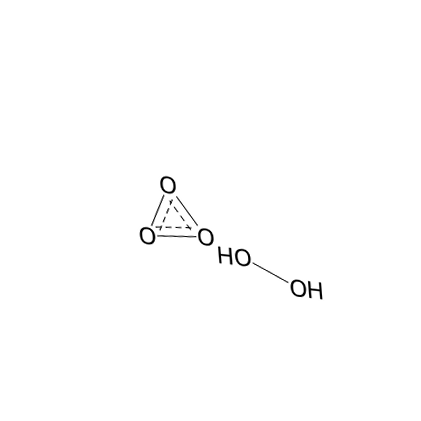 OO.o1oo1